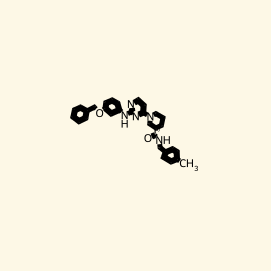 Cc1ccc(CNC(=O)[C@H]2CCCN(c3ccnc(Nc4cccc(OCc5ccccc5)c4)n3)C2)cc1